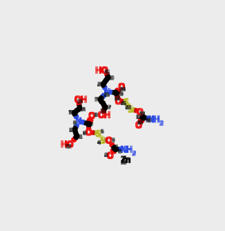 NC(=O)OSSOC(=O)N(CCO)CCO.NC(=O)OSSOC(=O)N(CCO)CCO.[Zn]